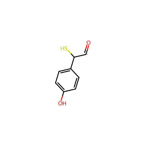 O=[C]C(S)c1ccc(O)cc1